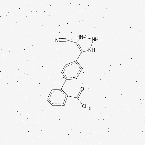 CC(=O)c1ccccc1-c1ccc(C2=C(C#N)NNN2)cc1